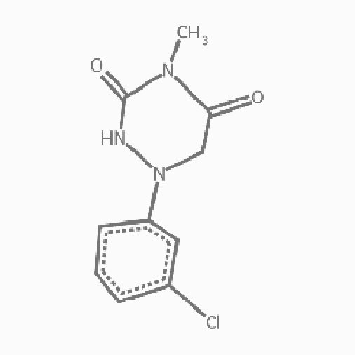 CN1C(=O)CN(c2cccc(Cl)c2)NC1=O